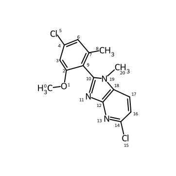 COc1cc(Cl)cc(C)c1-c1nc2nc(Cl)ccc2n1C